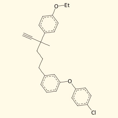 C#CC(C)(CCCc1cccc(Oc2ccc(Cl)cc2)c1)c1ccc(OCC)cc1